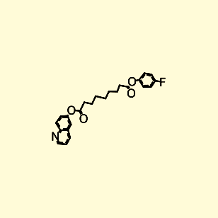 O=C(CCCCCCCC(=O)Oc1ccc2ncccc2c1)Oc1ccc(F)cc1